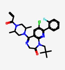 C=CC(=O)N1CC(C)N(C2=NCC(=O)N(CC(C)(C)C)c3nc(-c4ccccc4F)c(Cl)cc32)CC1C